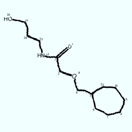 O=C(COCC1CCCCCC1)NCCCO